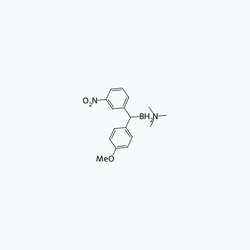 BC(c1ccc(OC)cc1)c1cccc([N+](=O)[O-])c1.CN(C)C